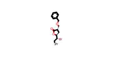 CC(C)C[C@@H](Br)[C@@H]1C[C@@H](COCc2ccccc2)C(=O)O1